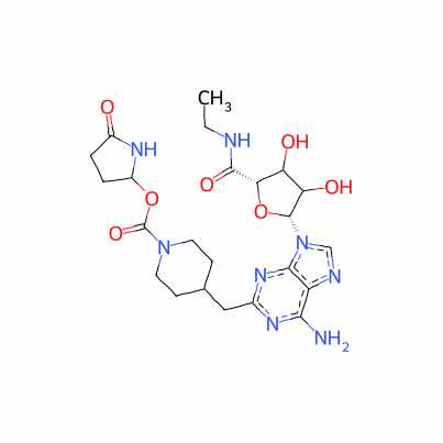 CCNC(=O)[C@H]1O[C@@H](n2cnc3c(N)nc(CC4CCN(C(=O)OC5CCC(=O)N5)CC4)nc32)C(O)C1O